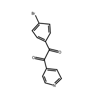 O=C(C(=O)c1ccc(Br)cc1)c1ccncc1